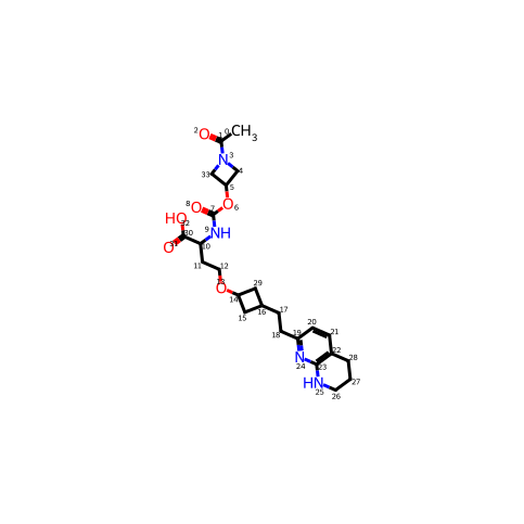 CC(=O)N1CC(OC(=O)NC(CCOC2CC(CCc3ccc4c(n3)NCCC4)C2)C(=O)O)C1